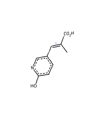 C/C(=C\c1ccc(O)nc1)C(=O)O